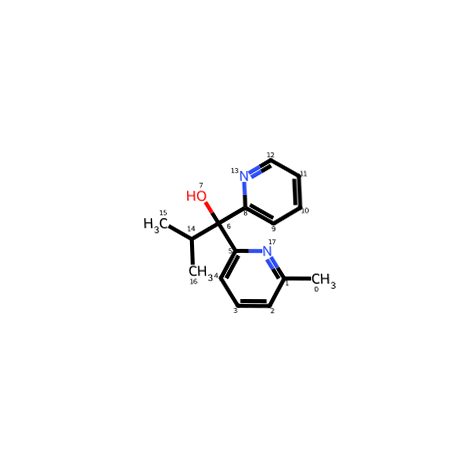 Cc1cccc(C(O)(c2ccccn2)C(C)C)n1